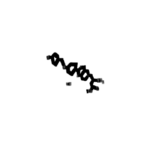 CC(CC(=O)O)CN1CCc2nc(-c3ccc(OCc4ccc(Cl)cc4)cc3)ncc2C1.Cl